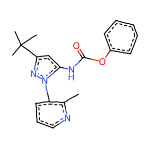 Cc1ncccc1-n1nc(C(C)(C)C)cc1NC(=O)Oc1ccccc1